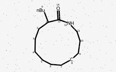 CCCCC1CCCCCCCCCCNC1=O